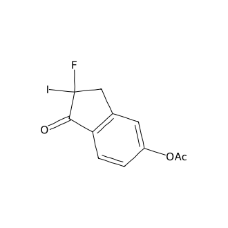 CC(=O)Oc1ccc2c(c1)CC(F)(I)C2=O